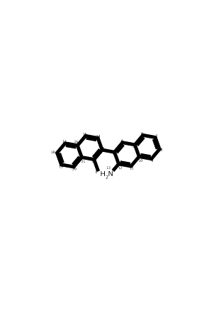 Cc1c(-c2cc3ccccc3cc2N)ccc2ccccc12